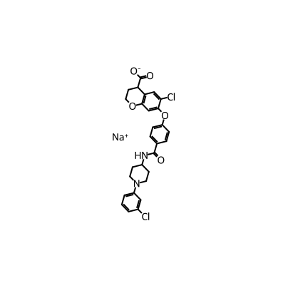 O=C(NC1CCN(c2cccc(Cl)c2)CC1)c1ccc(Oc2cc3c(cc2Cl)C(C(=O)[O-])CCO3)cc1.[Na+]